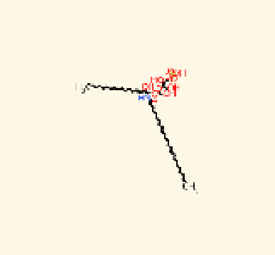 CCCCCCCCCCCCC/C=C/[C@@H](O)[C@H](COC(CO)OC(CO)C(O)COS(=O)(=O)O)NC(=O)CCCCCCCCCCCCCCCCCCCCCCCCC